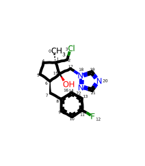 C[C@@]1(CCl)CC[C@H](Cc2ccc(F)cc2)[C@@]1(O)Cn1cncn1